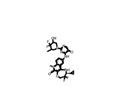 CC1CN(c2ncc(Cl)c(Nc3ccc4c(c3)c3c(c(=O)n4C)OCC(F)(F)[C@H](C4CC4)N3)n2)CC(O)C1(F)F